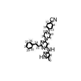 Cc1cc(Nc2cc(N3CCN(c4ccc(C#N)cc4)CC3)nc(/C=C/c3ccccc3)n2)n[nH]1